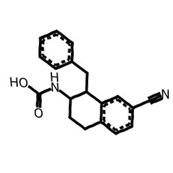 N#Cc1ccc2c(c1)C(Cc1ccccc1)C(NC(=O)O)CC2